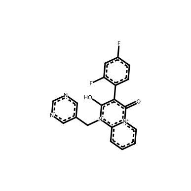 O=c1c(-c2ccc(F)cc2F)c(O)n(Cc2cncnc2)c2cccc[n+]12